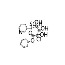 O=S(=O)(O)C1(c2cccnc2)O[C@@H](Oc2ccccc2)[C@@](O)(Cl)[C@@H](O)[C@@H]1O